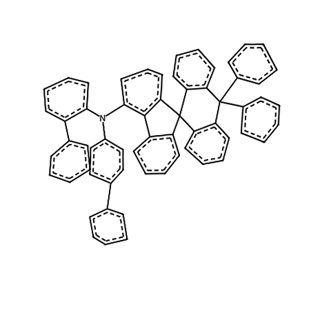 c1ccc(-c2ccc(N(c3ccccc3-c3ccccc3)c3cccc4c3-c3ccccc3C43c4ccccc4C(c4ccccc4)(c4ccccc4)c4ccccc43)cc2)cc1